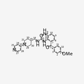 COc1ccc(C(=O)c2cccc(N)c2NC(=O)NCC2CCN(c3ccncc3)CC2)cc1